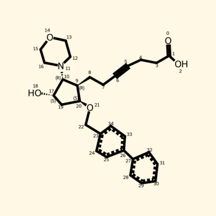 O=C(O)CCC#CCC[C@@H]1[C@@H](N2CCOCC2)[C@@H](O)C[C@@H]1OCc1ccc(-c2ccccc2)cc1